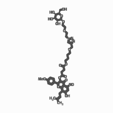 COc1ccc(-c2oc3c(CC=C(C)C)c(O)cc(N=O)c3c(=O)c2OC(=O)CCC(=O)OCCCCOCc2cn(CCOCCO[C@@H]3O[C@H](CO)[C@@H](O)[C@H](O)[C@H]3O)nn2)cc1